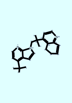 CC(C)(C)c1ccnc2c1ccn2CC(C)(C)c1ccnc2c1CCC=C2